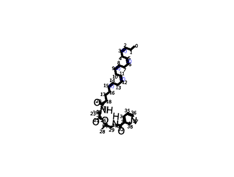 CC/C=C\C/C=C\C/C=C\C/C=C\C/C=C\CCCC(=O)N[C@@H](C)C(=O)O[C@H](C)CNC(=O)c1cccnc1